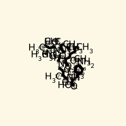 CCCC(C(CC(=O)N(CCC)CC(OC)C(C)C(=O)N[C@@H](Cc1ccc(N)cc1)C(=O)O)OC)N(C)C(=O)C(NC(=O)C(C(C)C)N(C)C)C(C)C